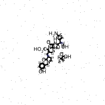 Nc1nc(/C(=N/O)C(=O)N[C@@H]2C(=O)N3C(C(=O)O)=C(/C=C4\CCN(Cc5cccc(O)c5)C4=O)CS[C@H]23)cs1.O=C(O)C(F)(F)F